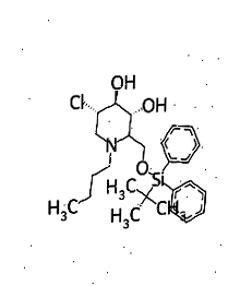 CCCCN1C[C@H](Cl)[C@@H](O)[C@H](O)C1CO[Si](c1ccccc1)(c1ccccc1)C(C)(C)C